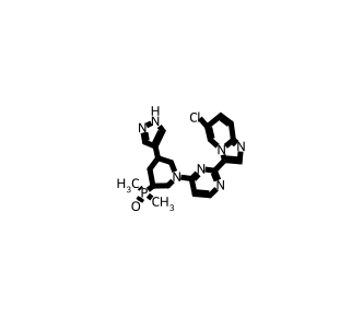 CP(C)(=O)C1CC(c2cn[nH]c2)CN(c2ccnc(-c3cnc4ccc(Cl)cn34)n2)C1